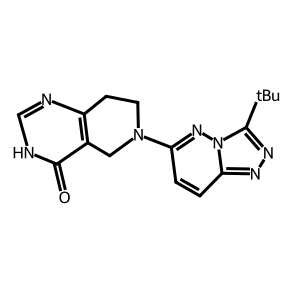 CC(C)(C)c1nnc2ccc(N3CCc4nc[nH]c(=O)c4C3)nn12